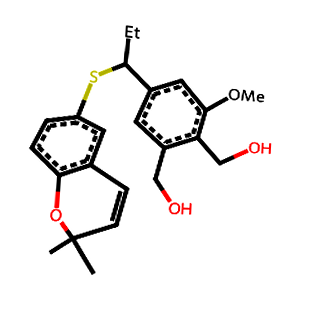 CCC(Sc1ccc2c(c1)C=CC(C)(C)O2)c1cc(CO)c(CO)c(OC)c1